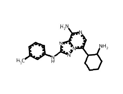 Cc1cccc(Nc2nc3c(N)ncc(C4CCCCC4N)n3n2)c1